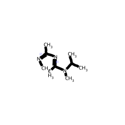 C/N=C(C)\N=C(/C)N(C)C(C)C